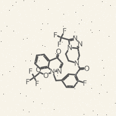 O=C1C=N[N+](Cc2ccc(F)c(C(=O)N3CCn4c(nnc4C(F)(F)F)C3)c2)(OC(=O)C(F)(F)F)c2ccccc21